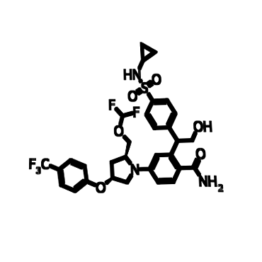 NC(=O)c1ccc(N2C[C@@H](Oc3ccc(C(F)(F)F)cc3)C[C@H]2COC(F)F)cc1C(CO)c1ccc(S(=O)(=O)NC2CC2)cc1